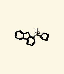 C1=CCC([SiH2]c2cccc3c2Cc2ccccc2-3)=C1